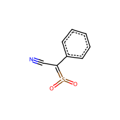 N#CC(c1ccccc1)=S(=O)=O